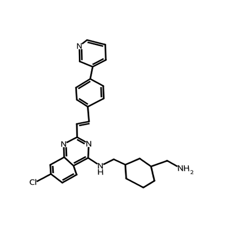 NCC1CCCC(CNc2nc(C=Cc3ccc(-c4cccnc4)cc3)nc3cc(Cl)ccc23)C1